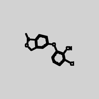 CB1OCc2cc(Oc3cccc(Cl)c3C#N)ccc21